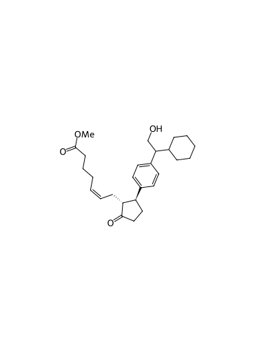 COC(=O)CCC/C=C\C[C@H]1C(=O)CC[C@@H]1c1ccc(C(CO)C2CCCCC2)cc1